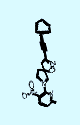 Cc1ccc([N+](=O)[O-])c(N2CCC3(CC(C#Cc4ccccc4)=NO3)C2)n1